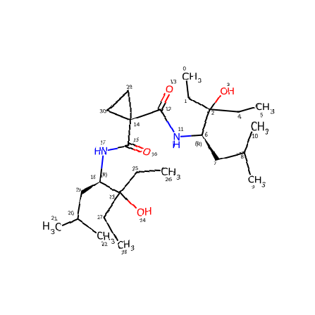 CCC(O)(CC)[C@@H](CC(C)C)NC(=O)C1(C(=O)N[C@H](CC(C)C)C(O)(CC)CC)CC1